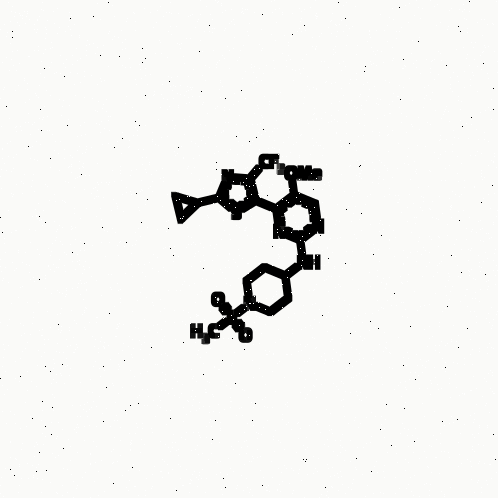 COc1cnc(NC2CCN(S(C)(=O)=O)CC2)nc1-c1sc(C2CC2)nc1C(F)(F)F